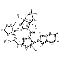 Cc1nc(NCC(F)(F)F)nc(N[C@@H]2C[C@H](CN3CCCS3(=O)=O)[C@H]3OC(C)(C)O[C@H]32)c1-c1nc2ccccc2s1